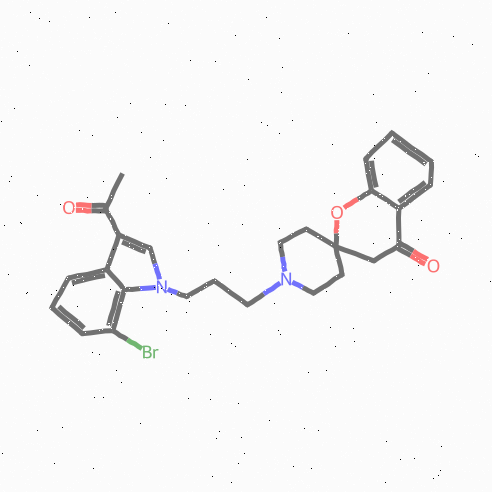 CC(=O)c1cn(CCCN2CCC3(CC2)CC(=O)c2ccccc2O3)c2c(Br)cccc12